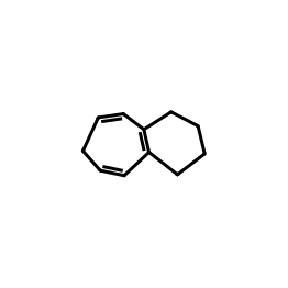 C1=CC2=C(C=CC1)CCCC2